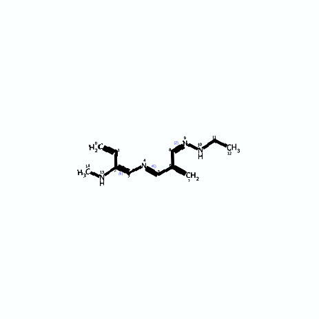 C=C/C(=C\N=C\C(=C)/C=N\NCC)NC